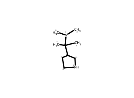 CN(C)C(C)(C)C1CCNC1